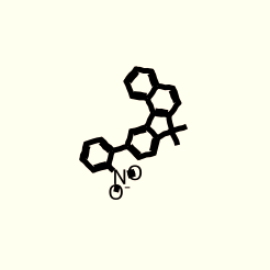 CC1(C)c2ccc(-c3ccccc3[N+](=O)[O-])cc2-c2c1ccc1ccccc21